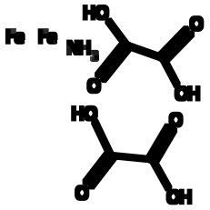 N.O=C(O)C(=O)O.O=C(O)C(=O)O.[Fe].[Fe]